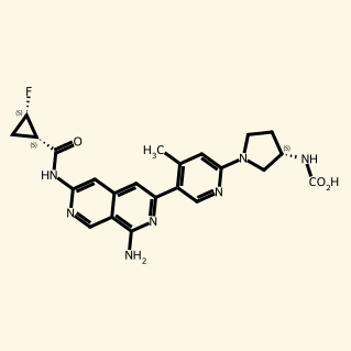 Cc1cc(N2CC[C@H](NC(=O)O)C2)ncc1-c1cc2cc(NC(=O)[C@@H]3C[C@@H]3F)ncc2c(N)n1